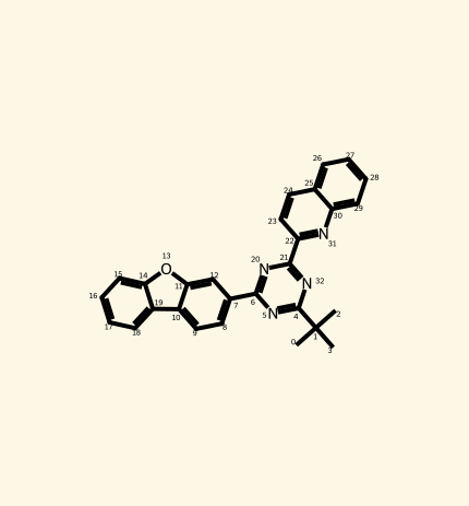 CC(C)(C)c1nc(-c2ccc3c(c2)oc2ccccc23)nc(-c2ccc3ccccc3n2)n1